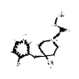 CC(C)(C)OC(=O)N1CCC(C#N)(Cc2cnccc2Br)CC1